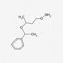 CC(CCO[SiH2])OC(C)c1ccccc1